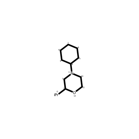 CC(C)C1CN(C2CCCCC2)CCO1